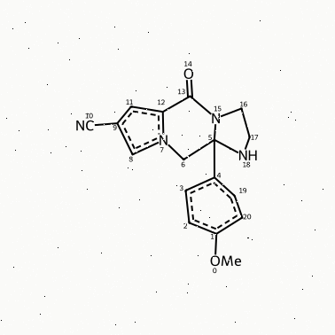 COc1ccc(C23Cn4cc(C#N)cc4C(=O)N2CCN3)cc1